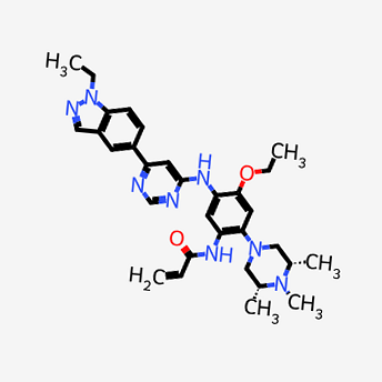 C=CC(=O)Nc1cc(Nc2cc(-c3ccc4c(cnn4CC)c3)ncn2)c(OCC)cc1N1C[C@@H](C)N(C)[C@@H](C)C1